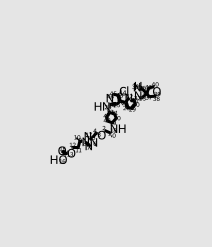 C[C@H](COCc1nnn([C@H](C)CCOC(=O)O)n1)NC1CCC(Nc2cc(-c3cccc(NCC4(C#N)CCOCC4)n3)c(Cl)cn2)CC1